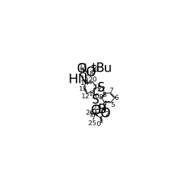 C=C1OB(c2cccc3c2Sc2ccc(NC(=O)OC(C)(C)C)cc2S3)OC1(C)C